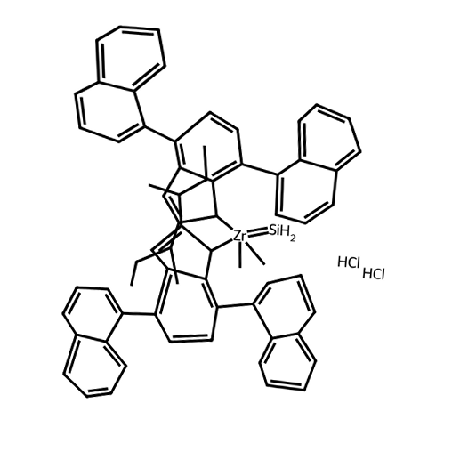 CCC(C)C1=Cc2c(-c3cccc4ccccc34)ccc(-c3cccc4ccccc34)c2[CH]1[Zr]([CH3])([CH3])(=[SiH2])[CH]1C(C(C)CC)=Cc2c(-c3cccc4ccccc34)ccc(-c3cccc4ccccc34)c21.Cl.Cl